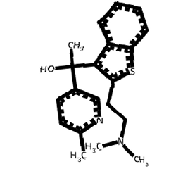 Cc1ccc(C(C)(O)c2c(CCN(C)C)sc3ccccc23)cn1